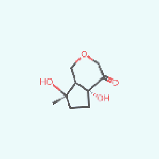 C[C@]1(O)CC[C@]2(O)C(=O)COCC12